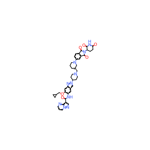 O=C1CCC(N2C(=O)c3ccc(N4CCC[C@H](CN5CCC(n6cc7cc(NC(=O)c8cnn9cccnc89)c(OCC8CC8)cc7n6)CC5)C4)cc3C2=O)C(=O)N1